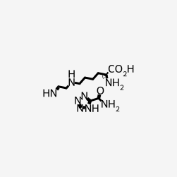 N=CCNCCCC[C@H](N)C(=O)O.NC(=O)c1nnn[nH]1